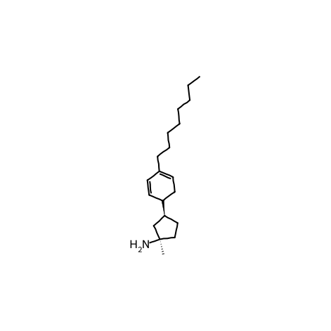 CCCCCCCCC1=CCC([C@H]2CC[C@@](C)(N)C2)C=C1